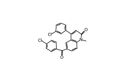 Cn1c(=O)cc(-c2cccc(Cl)c2)c2cc(C(=O)c3ccc(Cl)cc3)ccc21